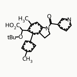 Cc1ccc(-c2c3c(cc(C)c2C(OC(C)(C)C)C(=O)O)N(C(=O)c2cccnc2)CC3)cc1